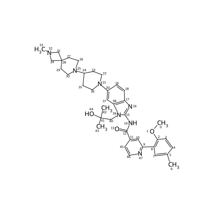 COc1ccc(C)cc1-c1cc(C(=O)Nc2nc3ccc(N4CCC(N5CCC6(CC5)CN(C)C6)CC4)cc3n2CC(C)(C)O)ccn1